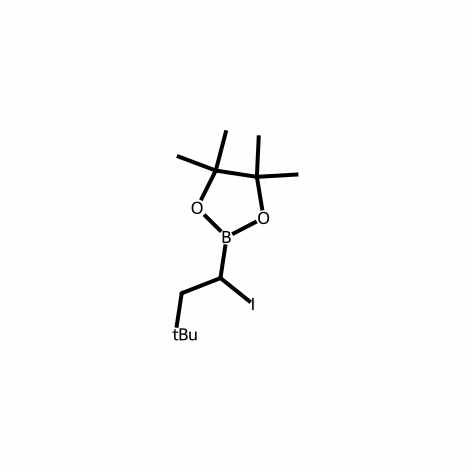 CC(C)(C)CC(I)B1OC(C)(C)C(C)(C)O1